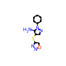 Nc1c(Sc2conn2)cnn1-c1ccccc1